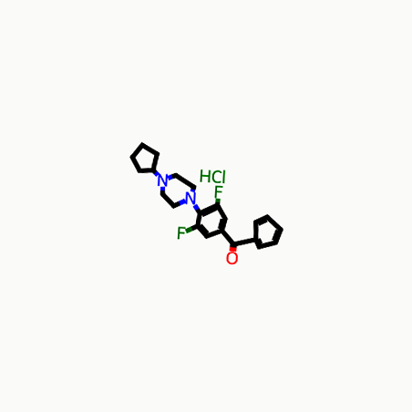 Cl.O=C(c1ccccc1)c1cc(F)c(N2CCN(C3CCCC3)CC2)c(F)c1